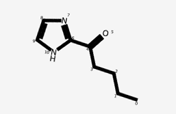 CCCCC(=O)c1ncc[nH]1